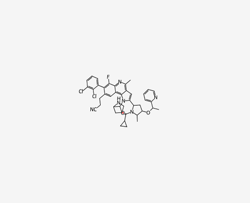 Cc1nc2c(F)c(-c3cccc(Cl)c3Cl)c(CCC#N)cc2c2c1cc(C1CC(OC(C)c3ccccn3)C(C)N1C(=O)C1CC1)n2C1C2CNC1C2